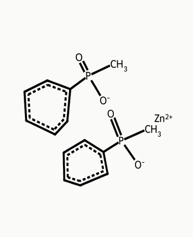 CP(=O)([O-])c1ccccc1.CP(=O)([O-])c1ccccc1.[Zn+2]